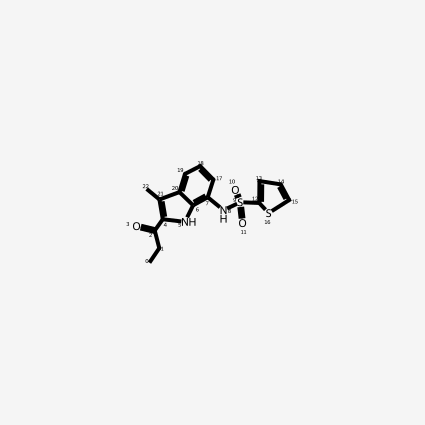 CCC(=O)c1[nH]c2c(NS(=O)(=O)c3cccs3)cccc2c1C